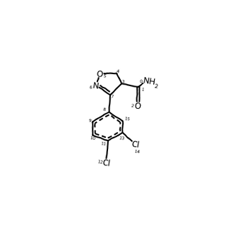 NC(=O)C1CON=C1c1ccc(Cl)c(Cl)c1